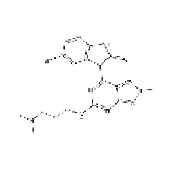 CN(C)CCCNc1nc(C2C(=O)Nc3ccc(Br)cc32)c2cn(C)nc2n1